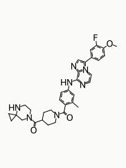 COc1ccc(-c2cnc3c(Nc4ccc(C(=O)N5CCC(C(=O)N6CCNC7(CC7)C6)CC5)c(C)c4)nccn23)cc1F